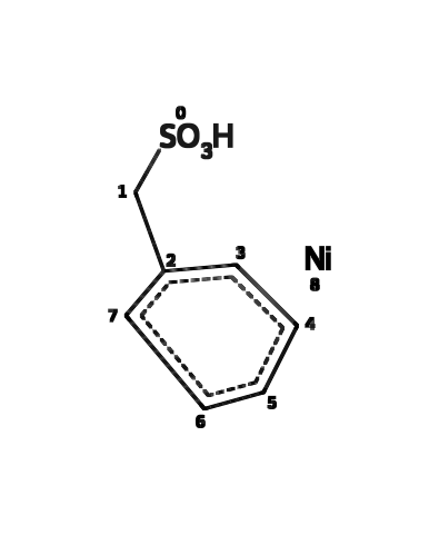 O=S(=O)(O)Cc1ccccc1.[Ni]